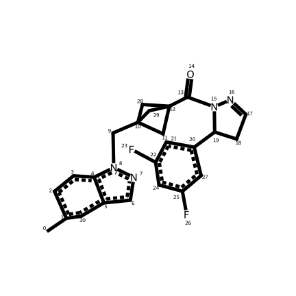 Cc1ccc2c(cnn2CC23CC(C(=O)N4N=CCC4c4cc(F)cc(F)c4)(C2)C3)c1